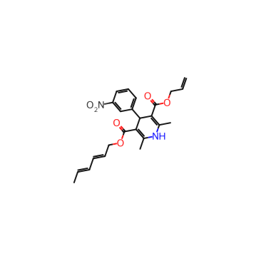 C=CCOC(=O)C1=C(C)NC(C)=C(C(=O)OC/C=C/C=C/C)C1c1cccc([N+](=O)[O-])c1